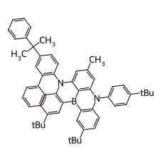 Cc1cc2c3c(c1)N(c1ccc(C(C)(C)c4ccccc4)cc1-c1ccccc1)c1ccc(C(C)(C)C)cc1B3c1cc(C(C)(C)C)ccc1N2c1ccc(C(C)(C)C)cc1